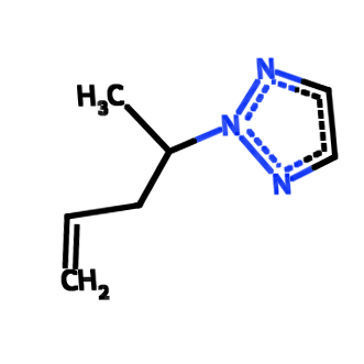 C=CCC(C)n1nccn1